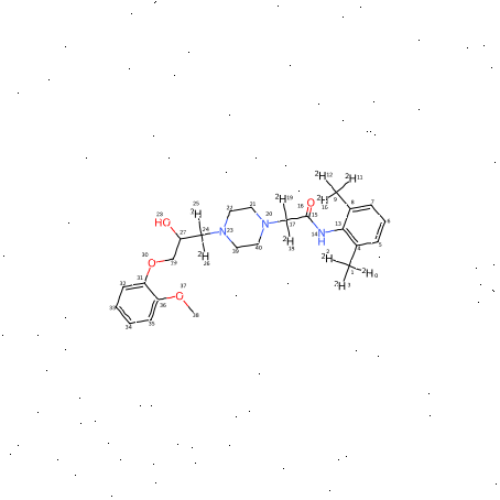 [2H]C([2H])([2H])c1cccc(C([2H])([2H])[2H])c1NC(=O)C([2H])([2H])N1CCN(C([2H])([2H])C(O)COc2ccccc2OC)CC1